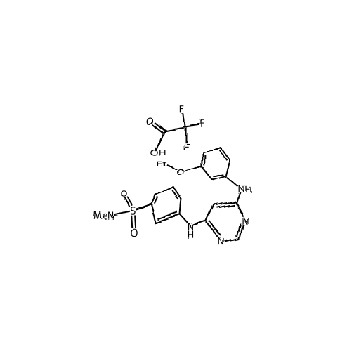 CCOc1cccc(Nc2cc(Nc3cccc(S(=O)(=O)NC)c3)ncn2)c1.O=C(O)C(F)(F)F